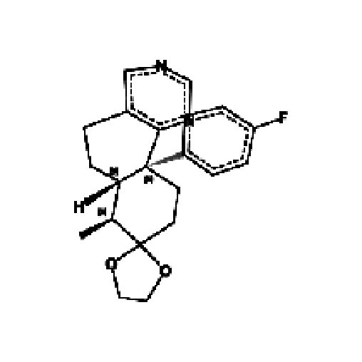 C[C@H]1[C@@H]2CCc3cncnc3[C@@]2(c2ccc(F)cc2)CCC12OCCO2